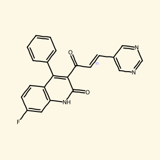 O=C(/C=C/c1cncnc1)c1c(-c2ccccc2)c2ccc(F)cc2[nH]c1=O